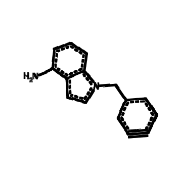 Nc1cccc2c1ccn2Cc1cc#ccc1